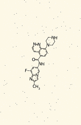 Cc1cn2cc(NC(=O)c3ccc(N4CCNCC4)c4nnccc34)cc(F)c2n1